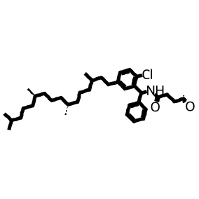 CC(C)CCC[C@@H](C)CCC[C@@H](C)CCCC(C)CCc1ccc(Cl)c(C(NC(=O)CC[C]=O)c2ccccc2)c1